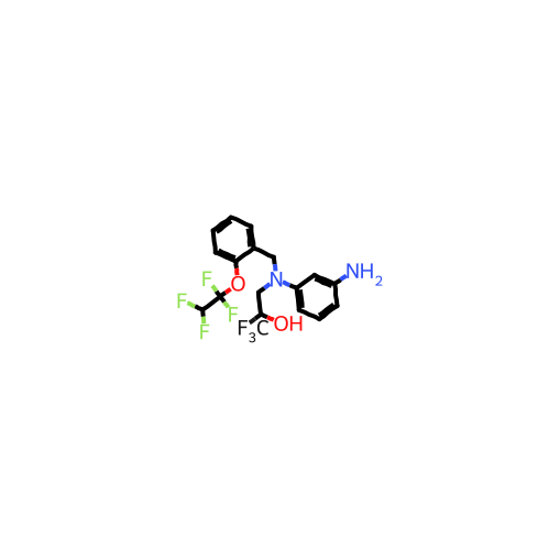 Nc1cccc(N(Cc2ccccc2OC(F)(F)C(F)F)CC(O)C(F)(F)F)c1